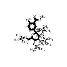 CC(C)(C)OC(=O)c1cc(C2(O)OC(CO[Si](C)(C)C)[C@@H](O[Si](C)(C)C)[C@H](O[Si](C)(C)C)[C@H]2O[Si](C)(C)C)ccc1Cl